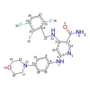 NC(=O)c1cnc(Nc2ccc(N3CCOCC3)cc2)cc1NCc1c(F)ccc(F)c1F